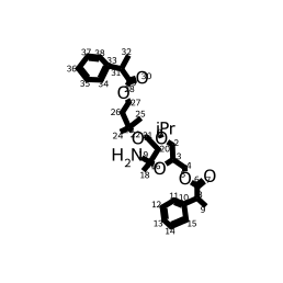 CC(C)OCC(COC(=O)C(C)c1ccccc1)OC(C)(N)CCOC(C)(C)CCOC(=O)C(C)c1ccccc1